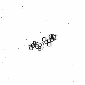 C=C(C)C(=O)OCCOc1c(Br)cc(C(C)(C)c2cc(Cl)c(OCC(OCC)OC(=O)C(=C)C)c(Cl)c2)cc1Br